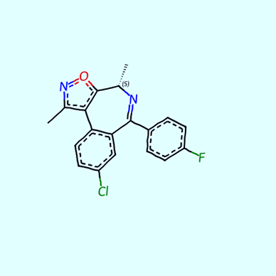 Cc1noc2c1-c1ccc(Cl)cc1C(c1ccc(F)cc1)=N[C@H]2C